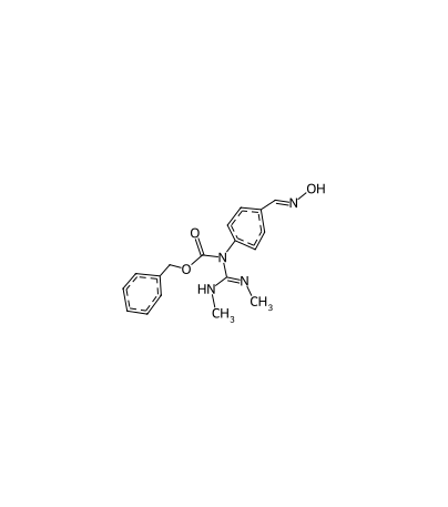 CN=C(NC)N(C(=O)OCc1ccccc1)c1ccc(C=NO)cc1